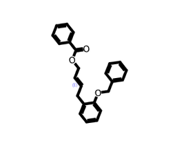 O=C(OC/C=C/Cc1ccccc1OCc1ccccc1)c1ccccc1